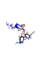 Cc1cnc(-c2ccc(F)nc2)c(OCC2CC(CN)=NO2)c1